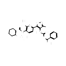 Cc1nc(-c2onc(C)c2NC(=O)O[C@H](C)c2ccccc2)ccc1NC(=O)[C@H]1CCCC[C@@H]1C(=O)O